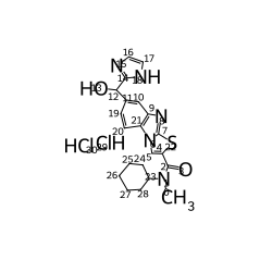 CN(C(=O)c1cn2c(nc3cc(C(O)c4ncc[nH]4)ccc32)s1)C1CCCCC1.Cl.Cl